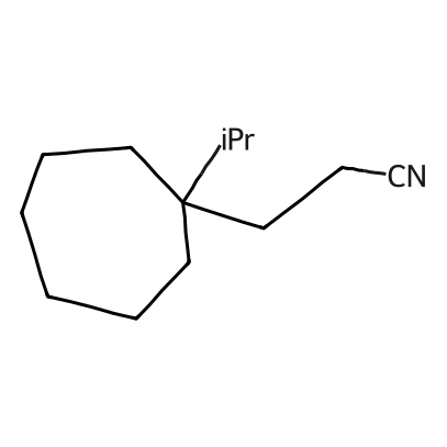 CC(C)C1(CCC#N)CCCCCC1